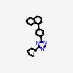 c1ccc(-c2ncnc(-c3ccc(-c4cccc5ccccc45)cc3)n2)cc1